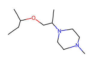 CCC(C)OCC(C)N1CCN(C)CC1